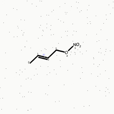 [CH2]/C=C/CO[N+](=O)[O-]